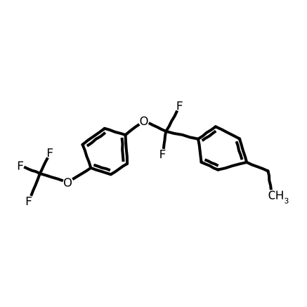 CCc1ccc(C(F)(F)Oc2ccc(OC(F)(F)F)cc2)cc1